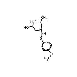 COc1ccc(SNN(CCO)CC(C)C)cc1